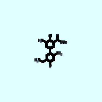 COC(=O)c1nc(-c2cc(CN)c(F)cc2N)cc(N)c1Cl